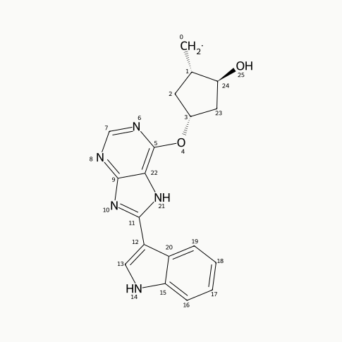 [CH2][C@H]1C[C@@H](Oc2ncnc3nc(-c4c[nH]c5ccccc45)[nH]c23)C[C@@H]1O